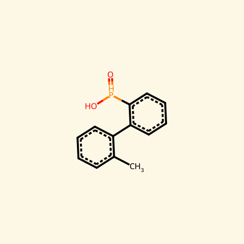 Cc1ccccc1-c1ccccc1[PH](=O)O